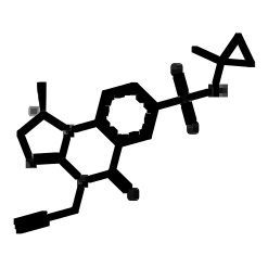 C#CCN1C(=O)c2cc(S(=O)(=O)NC3(C)CC3)ccc2N2C1=NC[C@H]2C